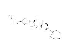 N#CNC1CN(C(=O)Nc2ncc(C3CCCCC3)s2)C1